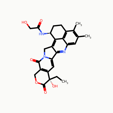 CC[C@@]1(O)C(=O)OCc2c1cc1n(c2=O)Cc2c-1nc1cc(C)c(C)c3c1c2[C@@H](NC(=O)CO)CC3